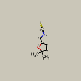 CC1(C)CC[C@H](CN=C=S)O1